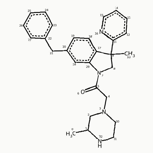 CC1CN(CC(=O)N2CC(C)(c3ccccn3)c3ccc(Cc4ccccc4)cc32)CCN1